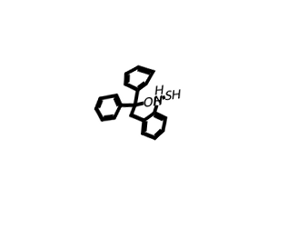 OC(Cc1ccccc1NS)(c1ccccc1)c1ccccc1